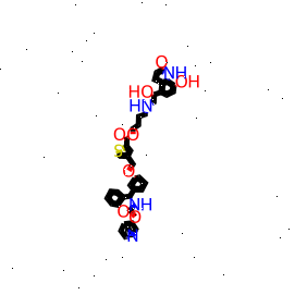 O=C(N[C@@H](c1ccccc1)c1cccc(OCc2csc(C(=O)OCCCCNCC(O)c3ccc(O)c4[nH]c(=O)ccc34)c2)c1)OC1CN2CCC1CC2